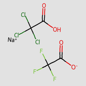 O=C(O)C(Cl)(Cl)Cl.O=C([O-])C(F)(F)F.[Na+]